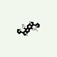 Cc1c2cc3scc(-c4cccs4)c3c(C)c2cc2scc(-c3cccs3)c12